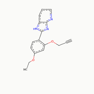 C#CCOc1cc(OCC#N)ccc1-c1nc2ncccc2[nH]1